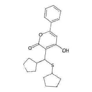 O=c1oc(-c2ccccc2)cc(O)c1C(SC1CCCC1)C1CCCC1